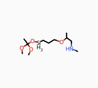 CNCC(C)OCCC[SiH2]OC(C)(OC)OC